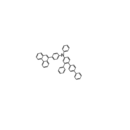 c1ccc(-c2ccc(-c3ccc(N(c4ccccc4)c4ccc(-c5cc6ccccc6c6ccccc56)cc4)cc3-c3ccccc3)cc2)cc1